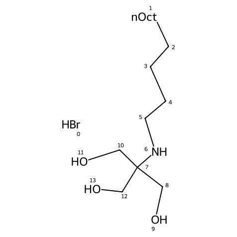 Br.CCCCCCCCCCCCNC(CO)(CO)CO